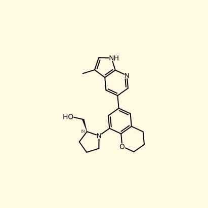 Cc1c[nH]c2ncc(-c3cc4c(c(N5CCC[C@H]5CO)c3)OCCC4)cc12